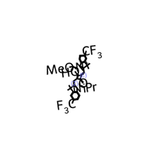 COCC[N+]1=C(/C=C2/C(=O)C(/C=C3\N(CC(C)C)c4ccc(C(F)(F)F)cc4C3(C)C)=C2O)C(C)(C)c2cc(C(F)(F)F)ccc21